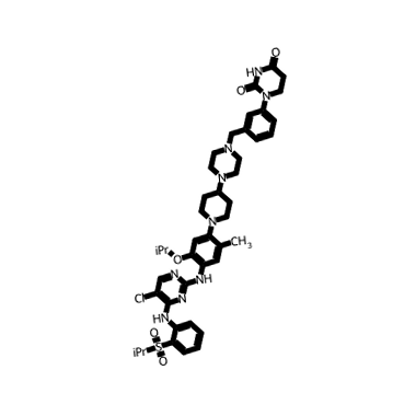 Cc1cc(Nc2ncc(Cl)c(Nc3ccccc3S(=O)(=O)C(C)C)n2)c(OC(C)C)cc1N1CCC(N2CCN(Cc3cccc(N4CCC(=O)NC4=O)c3)CC2)CC1